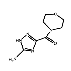 Nc1nc(C(=O)N2CCOCC2)n[nH]1